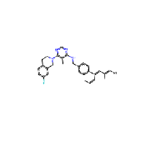 C\C=C/C(=C\C(C)=C\CC)c1ccc(CNc2ncnc(N3CCc4ccc(F)cc4C3)c2C)cc1